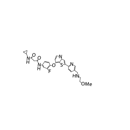 COCCNCc1ccc(-c2cc3nccc(Oc4ccc(NC(=O)CC(=O)NC5CC5)cc4F)c3s2)nc1